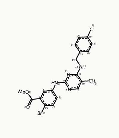 COC(=O)c1cc(Nc2ncc(C)c(NCc3ccc(Cl)cc3)n2)ccc1Br